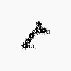 O=[N+]([O-])c1cccnc1N1CCN(c2ccc(OCC3COC(Cn4ccnc4)(c4ccc(Cl)cc4Cl)O3)cc2)CC1